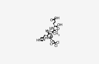 CC(C)(NC(=O)[C@H](Cc1c[nH]cn1)NC(=O)OCC(Cl)(Cl)Cl)C(=O)N[C@@H](CCC(=O)O)C(=O)O